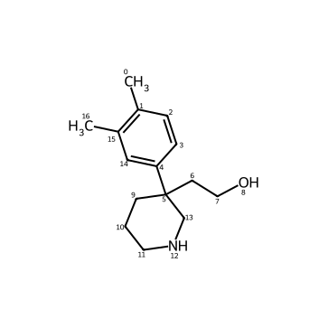 Cc1ccc(C2(CCO)CCCNC2)cc1C